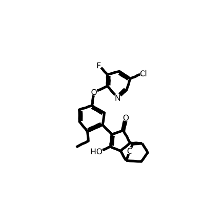 CCc1ccc(Oc2ncc(Cl)cc2F)cc1C1=C(O)C2C3CCC(CC3)C2C1=O